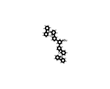 CCC(C)c1cc(-c2ccc3oc4c(-n5c6ccccc6c6ccccc65)cccc4c3c2)cc(-c2ccc3oc4c(-n5c6ccccc6c6ccccc65)cccc4c3c2)c1